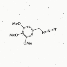 COc1cc(CN=[N+]=[N-])cc(OC)c1OC